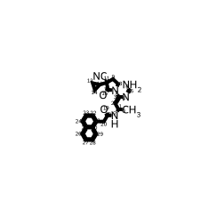 CC(/C=C(\N=C/N)N1CC[C@@](C#N)(C2CC2)C1=O)NC(=O)Cc1cccc2ccccc12